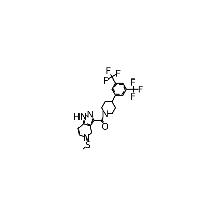 CSN1CCc2[nH]nc(C(=O)N3CCC(c4cc(C(F)(F)F)cc(C(F)(F)F)c4)CC3)c2C1